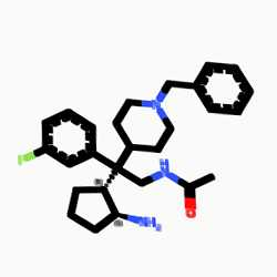 CC(=O)NCC(c1cccc(F)c1)(C1CCN(Cc2ccccc2)CC1)[C@H]1CCC[C@@H]1N